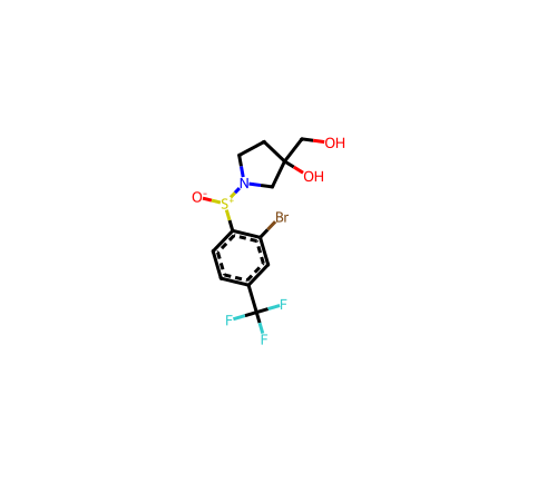 [O-][S+](c1ccc(C(F)(F)F)cc1Br)N1CCC(O)(CO)C1